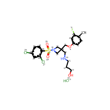 Cl.N#Cc1ccc(OCC2(CNCCCO)CN(S(=O)(=O)c3ccc(Cl)cc3Cl)C2)cc1F